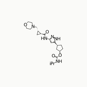 CC(C)NC(=O)O[C@@H]1CC[C@H](c2cc(NC(=O)[C@H]3C[C@@H]3CN3CCOCC3)n[nH]2)C1